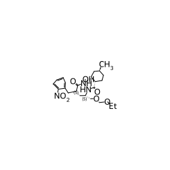 CCOCOC[C@H](C[C@H](Cc1ccccc1[N+](=O)[O-])C(=O)NO)NC(=O)[C@H]1CC[C@H](C)CC1